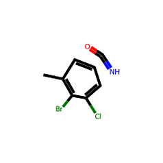 Cc1cccc(Cl)c1Br.N=C=O